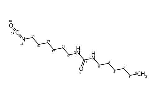 CCCCCCNC(=O)NCCCCCCN=C=O